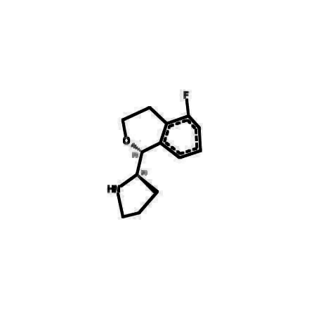 Fc1cccc2c1CCO[C@H]2[C@H]1CCCN1